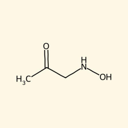 CC(=O)CNO